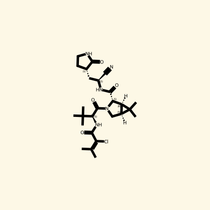 CC(C)=C(Cl)C(=O)N[C@H](C(=O)N1C[C@H]2[C@@H]([C@H]1C(=O)N[C@H](C#N)C[C@@H]1CCNC1=O)C2(C)C)C(C)(C)C